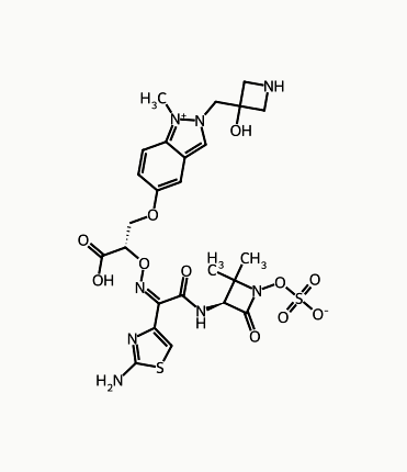 C[n+]1c2ccc(OC[C@H](O/N=C(\C(=O)N[C@@H]3C(=O)N(OS(=O)(=O)[O-])C3(C)C)c3csc(N)n3)C(=O)O)cc2cn1CC1(O)CNC1